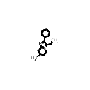 CCc1c(-c2ccccc2)nc2cc(C)ccn12